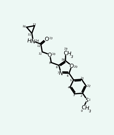 CSc1ccc(-c2nc(COCC(=O)NC3CC3)c(C)o2)cc1